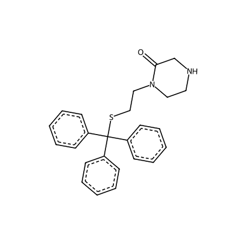 O=C1CNCCN1CCSC(c1ccccc1)(c1ccccc1)c1ccccc1